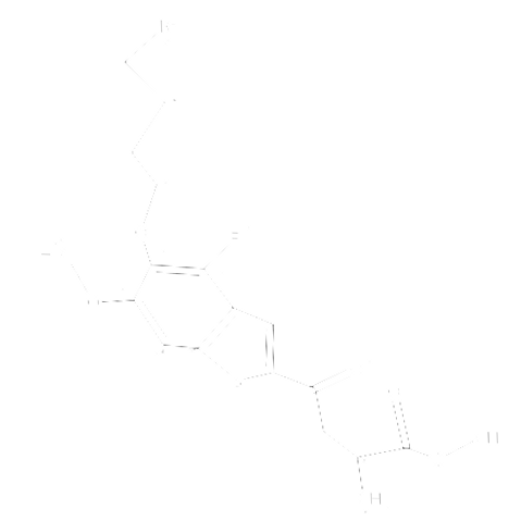 COC(=O)C(C)CC(=O)c1cc2c(F)c(OCCCCBr)c(OC)cc2s1